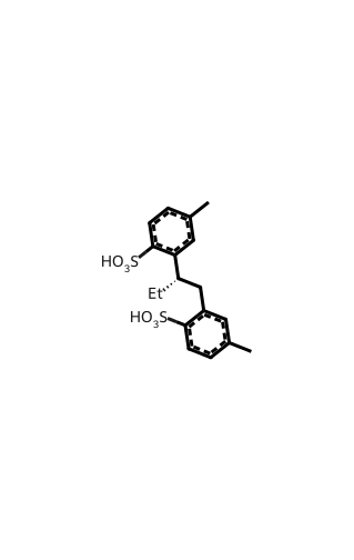 CC[C@@H](Cc1cc(C)ccc1S(=O)(=O)O)c1cc(C)ccc1S(=O)(=O)O